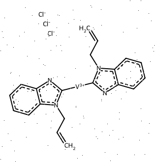 C=CCn1[c]([V+3][c]2nc3ccccc3n2CC=C)nc2ccccc21.[Cl-].[Cl-].[Cl-]